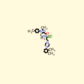 Cc1ccc(-n2c(C)nc(C(=O)NCCCN3CCN(c4cccc(C)c4C)CC3)c2C)cc1.Cl.Cl